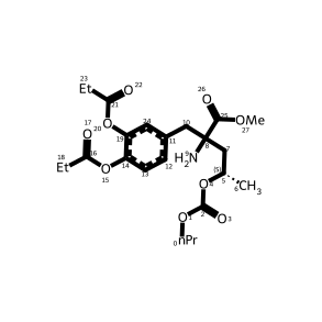 CCCOC(=O)O[C@@H](C)CC(N)(Cc1ccc(OC(=O)CC)c(OC(=O)CC)c1)C(=O)OC